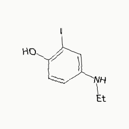 CCNc1ccc(O)c(I)c1